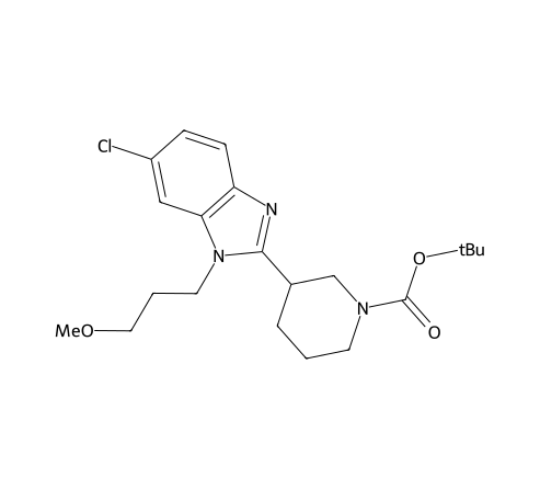 COCCCn1c(C2CCCN(C(=O)OC(C)(C)C)C2)nc2ccc(Cl)cc21